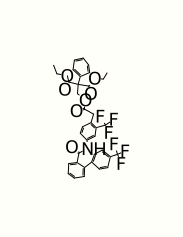 CCOC(=O)C(COC(=O)Cc1ccc(NC(=O)c2ccccc2-c2ccc(C(F)(F)F)cc2)cc1C(F)(F)F)(C(=O)OCC)c1ccccc1